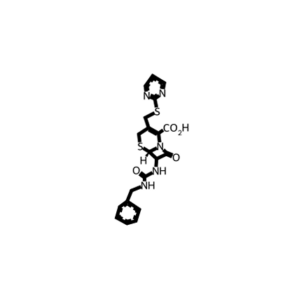 O=C(NCc1ccccc1)NC1C(=O)N2C(C(=O)O)=C(CSc3ncccn3)CS[C@@H]12